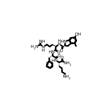 Cc1cc(O)cc2c1C[C@@H](C(=O)N[C@H](CCCNC(=N)N)C(=O)N[C@@H](Cc1ccccc1)C(=O)N[C@@H](CCCCN)C(N)=O)N2